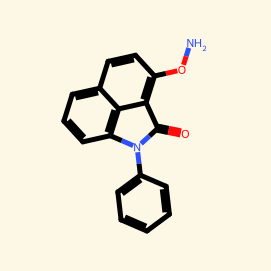 NOc1ccc2cccc3c2c1C(=O)N3c1ccccc1